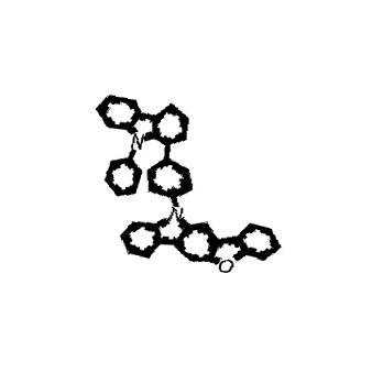 c1ccc(-n2c3ccccc3c3cccc(-c4ccc(-n5c6ccccc6c6cc7oc8ccccc8c7cc65)cc4)c32)cc1